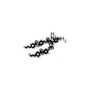 CCCCC1CCC(C(=O)Oc2ccc(/C=C/C(=O)OCC(COC(=O)/C=C/c3ccc(OC(=O)C4CCC(CCCC)CC4)cc3)c3ccc(N)cc3N)cc2)CC1